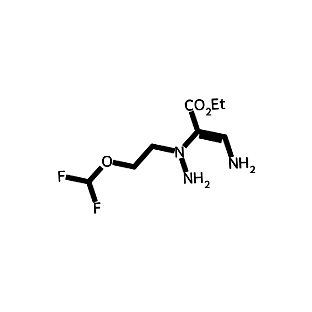 CCOC(=O)/C(=C/N)N(N)CCOC(F)F